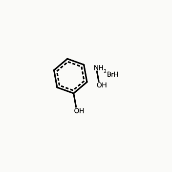 Br.NO.Oc1ccccc1